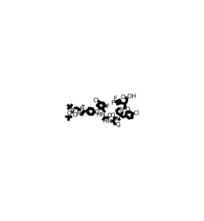 COCC(NC(=O)C(C)NCc1c(F)cc(Cl)cc1Oc1ccc(-c2cnc(CN(C(=O)OC(C)(C)C)C(C)(C)C)n2C)cc1)C(=O)N(C)C1(Cc2ccc(Cl)cc2)CCCN(C(=O)C(CC(=O)O)C2CC(F)(F)C2)C1